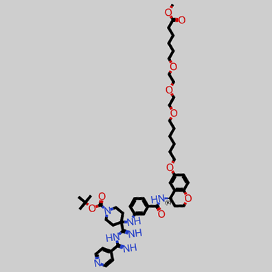 COC(=O)CCCCCOCCOCCOCCCCCCOc1ccc2c(c1)[C@H](NC(=O)c1cccc(NC3(C(=N)NC(=N)c4ccncc4)CCN(C(=O)OC(C)(C)C)CC3)c1)CCO2